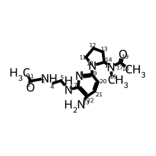 CC(=O)NCCNc1nc(N2CCCC2N(C)C(C)=O)ccc1N